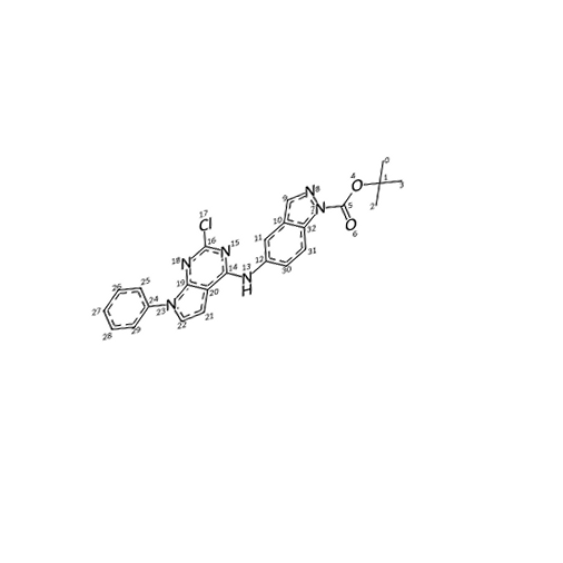 CC(C)(C)OC(=O)n1ncc2cc(Nc3nc(Cl)nc4c3ccn4-c3ccccc3)ccc21